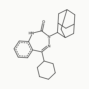 O=C1Nc2ccccc2C(C2CCCCC2)=NN1C1C2CC3CC(C2)CC1C3